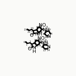 C=CCC1C(=O)Nc2cc(Nc3cccnc3)c([N+](=O)[O-])cc21.C=CCC1C(=O)Nc2cc(Nc3ccncc3)c([N+](=O)[O-])cc21